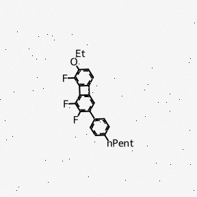 CCCCCc1ccc(-c2cc3c(c(F)c2F)-c2c-3ccc(OCC)c2F)cc1